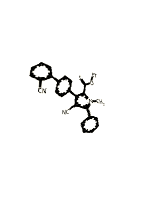 CCOC(=S)c1c(-c2ccc(-c3ccccc3C#N)cc2)c(C#N)c(-c2ccccc2)n1C